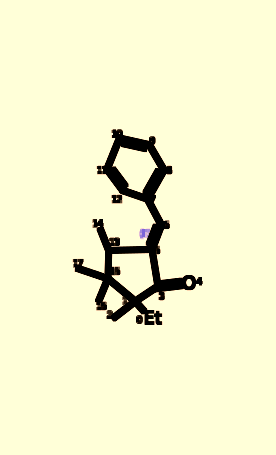 CCC1(C)C(=O)/C(=C/c2ccccc2)C(C)C1(C)C